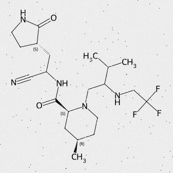 CC(C)C(CN1CC[C@@H](C)C[C@H]1C(=O)NC(C#N)C[C@@H]1CCNC1=O)NCC(F)(F)F